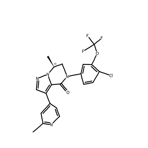 Cc1cc(-c2cnn3c2C(=O)N(c2ccc(Cl)c(OC(F)(F)F)c2)C[C@@H]3C)ccn1